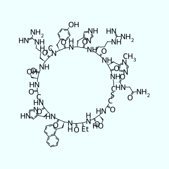 CC[C@@H]1NC(=O)[C@H](CO)NC(=O)CSC[C@@H](C(=O)NCC(N)=O)NC(=O)[C@H](Cc2cncn2C)NC(=O)[C@H](CCCNC(=N)N)NC(=O)[C@H](Cc2c[nH]cn2)NC(=O)[C@H](Cc2ccc(O)cc2)N(C)C(=O)[C@H](CCCNC(=N)N)NC(=O)[C@H](CO)NC(=O)CNC(=O)[C@H](Cc2c[nH]cn2)NC(=O)[C@H](Cc2cccc3ccccc23)NC1=O